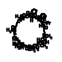 CC[C@H](C)[C@@H]1NC(=O)CCN(C)C(=O)CCCCN(C)C(=O)C[C@@H](C(=O)N2CCCCC2)NC(=O)[C@H](Cc2ccccc2)N(C)C(=O)[C@H](CC(C)C)NC(=O)CCN(C)C(=O)C[C@H]([C@@H](C)O)NC(=O)C[C@H](C)N(C)C(=O)[C@H](C(C)C)N(C)C1=O